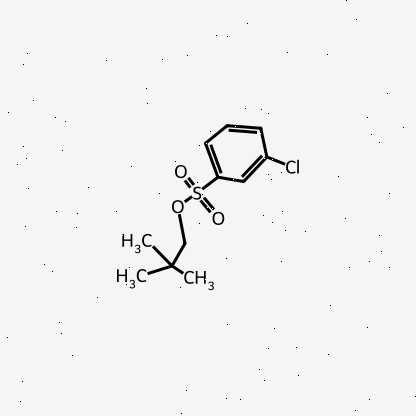 CC(C)(C)COS(=O)(=O)c1cccc(Cl)c1